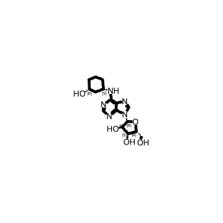 OC[C@H]1O[C@@H](n2cnc3c(N[C@H]4CCC[C@@H](O)C4)ncnc32)[C@H](O)[C@@H]1O